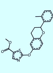 COC(=O)c1cnc(Oc2ccc3c(c2)CCC(c2ccccc2C)O3)s1